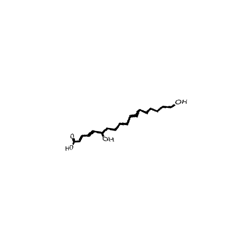 O=C(O)C=CC=CC(O)CCCCCCCCCCCCO